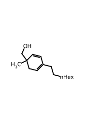 CCCCCCCCC1=CCC(C)(CO)C=C1